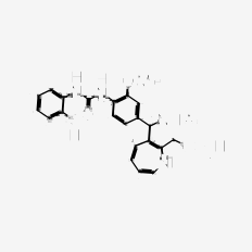 COc1cc(C(NC(C)=O)C2=C(CC(=O)O)NC=CC=C2)ccc1NC(=O)Nc1ccccc1C